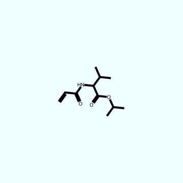 C=CC(=O)NC(C(=O)OC(C)C)C(C)C